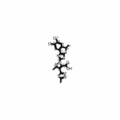 Cc1nnc(-c2c(C)nn(-c3nc4c(s3)SC(C)c3cc(Cl)c(Cl)cc3-4)c2C(=O)O)s1